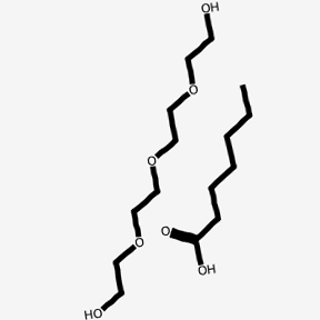 CCCCCCC(=O)O.OCCOCCOCCOCCO